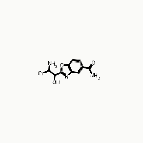 CC(C)C(N)C(O)c1nc2cc(C(N)=O)ccc2o1